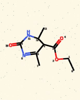 CCOC(=O)C1C(C)=NC(=O)NC1C